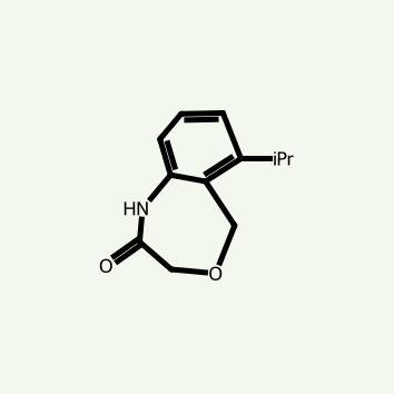 CC(C)c1cccc2c1COCC(=O)N2